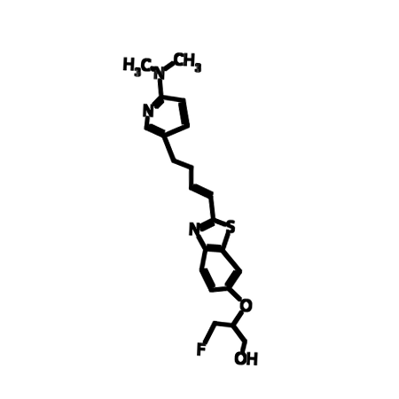 CN(C)c1ccc(CC/C=C/c2nc3ccc(OC(CO)CF)cc3s2)cn1